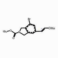 CO/C=C/c1cc(Br)c2c(c1)CN(C(=O)OC(C)(C)C)C2